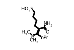 CCCC(=C(CCCCS(=O)(=O)O)C(N)=O)N(C)C